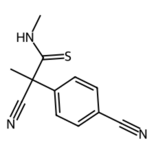 CNC(=S)C(C)(C#N)c1ccc(C#N)cc1